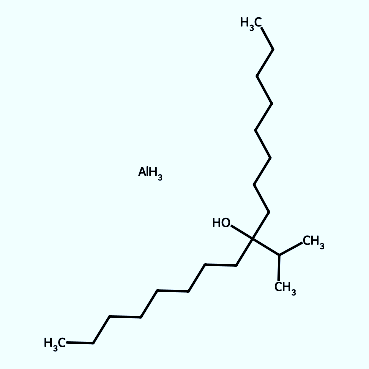 CCCCCCCCC(O)(CCCCCCCC)C(C)C.[AlH3]